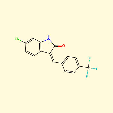 O=C1Nc2cc(Cl)ccc2C1=Cc1ccc(C(F)(F)F)cc1